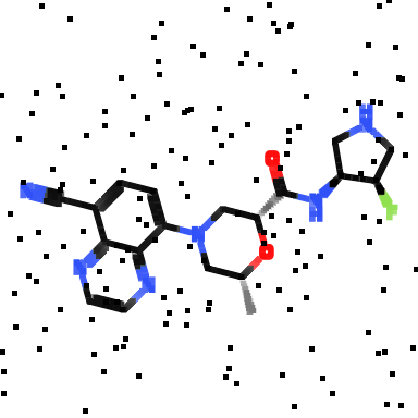 C[C@@H]1CN(c2ccc(C#N)c3nccnc23)C[C@H](C(=O)N[C@H]2CNC[C@H]2F)O1